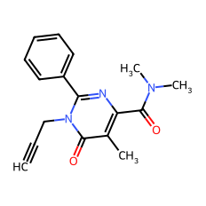 C#CCn1c(-c2ccccc2)nc(C(=O)N(C)C)c(C)c1=O